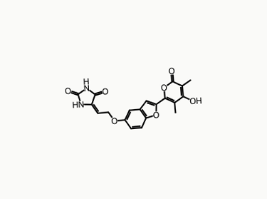 Cc1c(-c2cc3cc(OCC=C4NC(=O)NC4=O)ccc3o2)oc(=O)c(C)c1O